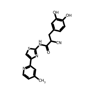 Cc1ccnc(-c2csc(NC(=O)C(C#N)Cc3ccc(O)c(O)c3)n2)c1